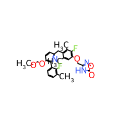 COCOc1ccc(Cc2c(C)cc(OCc3noc(=O)[nH]3)c(F)c2C)nc1-c1cccc(C)c1F